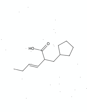 CCC=CC(CC1CCCC1)C(=O)O